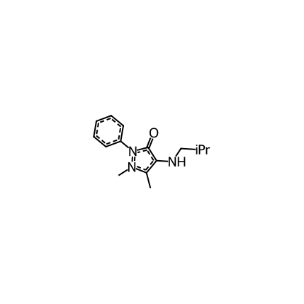 Cc1c(NCC(C)C)c(=O)n(-c2ccccc2)n1C